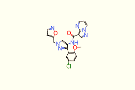 COc1ccc(Cl)cc1-c1nn(Cc2ccno2)cc1NC(=O)c1cnn2cccnc12